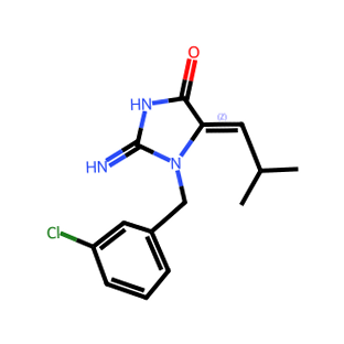 CC(C)/C=C1/C(=O)NC(=N)N1Cc1cccc(Cl)c1